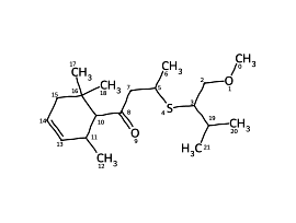 COCC(SC(C)CC(=O)C1C(C)C=CCC1(C)C)C(C)C